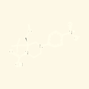 COC[C@@]1(C(C)(C)C)CN(c2ccc([N+](=O)[O-])cc2)CCN1C(=O)O